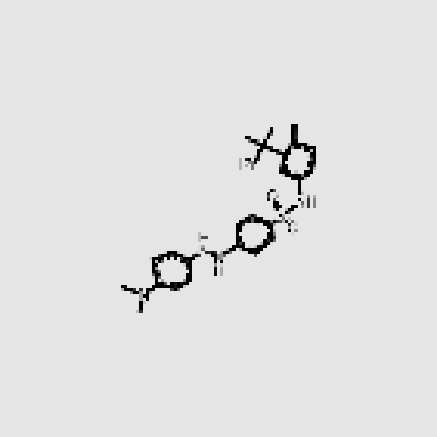 Cc1ccc(NS(=O)(=O)c2ccc(NNc3ccc(N(C)C)cc3)cc2)cc1C(C)(C)C(C)C